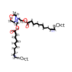 CCCCCCCC/C=C\CCCCCCCC(=O)OCC[N+]1(CCOC(=O)CCCCCCC/C=C\CCCCCCCC)CCOCC1